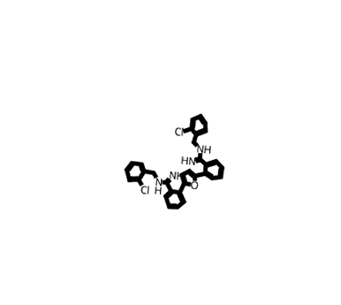 N=C(NCc1ccccc1Cl)c1ccccc1-c1ccc(-c2ccccc2C(=N)NCc2ccccc2Cl)o1